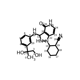 CC(O)(CO)c1cccc(NC2NN(C3CCCCC3C#N)c3cc[nH]c(=O)c32)c1